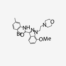 COc1cccc2c(C(=O)Nc3cc(C)ccc3Br)nn(CCN3CCOCC3)c12